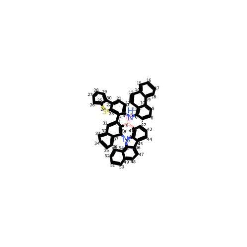 B1c2c(-c3c(Nc4cccc5c4c#cc4ccccc45)ccc4c3sc3ccccc34)cc3ccccc3c2-n2c3c1cccc3c1ccc3ccccc3c12